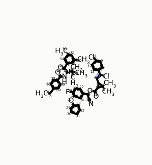 CC1(C)C(/C=C(\Cl)c2ccc(Cl)cc2)C1C(=O)OC(C#N)c1ccc(F)c(Oc2ccccc2)c1.CCc1ccc(C(=O)NN(C(=O)c2cc(C)cc(C)c2)C(C)(C)C)cc1